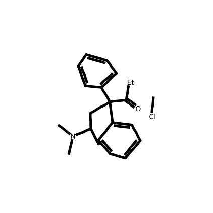 CCC(=O)C(CC(C)N(C)C)(c1ccccc1)c1ccccc1.CCl